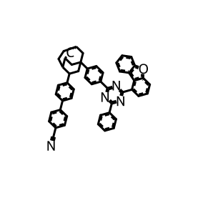 N#Cc1ccc(-c2ccc(C3CC4(c5ccc(-c6nc(-c7ccccc7)nc(-c7cccc8oc9ccccc9c78)n6)cc5)CC5CCC3C(C5)C4)cc2)cc1